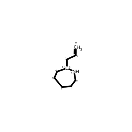 C=C[CH][13CH]1CCCCCN1